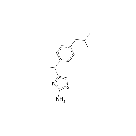 CC(C)Cc1ccc(C(C)c2csc(N)n2)cc1